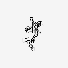 CN(CCC(CSc1ccccc1)Nc1ccc(SNC(=O)c2ccc(N3CCN(CC4=C(c5ccc(Cl)cc5)CCC(C)(C)C4)CC3)cc2)cc1S(=O)(=O)C(F)(F)F)CCP(=O)(O)O